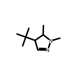 CC1C(C(C)(C)C)C=NN1C